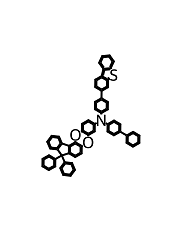 c1ccc(-c2ccc(N(c3ccc(-c4ccc5c(c4)sc4ccccc45)cc3)c3ccc4c(c3)Oc3ccc5c(c3O4)-c3ccccc3C5(c3ccccc3)c3ccccc3)cc2)cc1